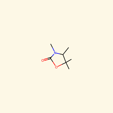 CC1N(C)C(=O)OC1(C)C